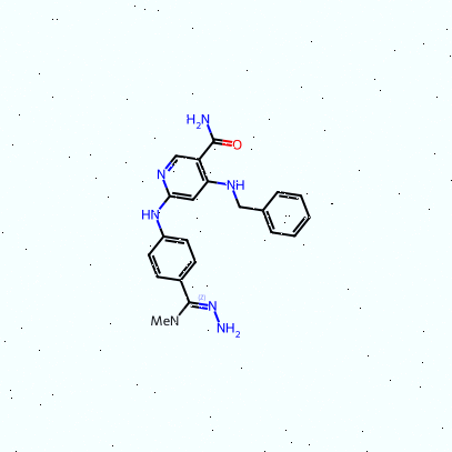 CN/C(=N\N)c1ccc(Nc2cc(NCc3ccccc3)c(C(N)=O)cn2)cc1